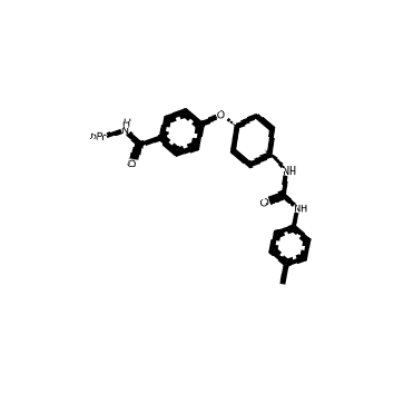 CCCNC(=O)c1ccc(O[C@H]2CC[C@H](NC(=O)Nc3ccc(C)cc3)CC2)cc1